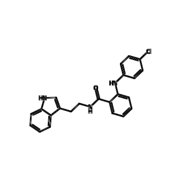 O=C(NCCc1c[nH]c2ccccc12)c1ccccc1Nc1ccc(Cl)cc1